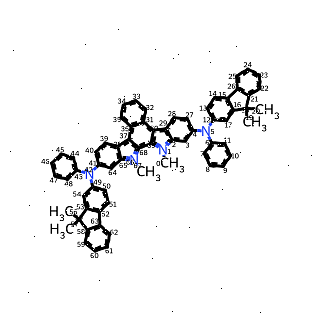 Cn1c2cc(N(c3ccccc3)c3ccc4c(c3)C(C)(C)c3ccccc3-4)ccc2c2c3ccccc3c3c4ccc(N(c5ccccc5)c5ccc6c(c5)C(C)(C)c5ccccc5-6)cc4n(C)c3c21